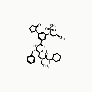 CCCN(c1cc(C(=O)N[C@@H](Cc2ccccc2)[C@@H](O)CN(CC)C(=O)NC2CCCCC2)cc(N2CCCC2=O)c1)S(C)(=O)=O